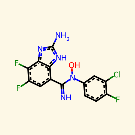 N=C(c1cc(F)c(F)c2nc(N)[nH]c12)N(O)c1ccc(F)c(Cl)c1